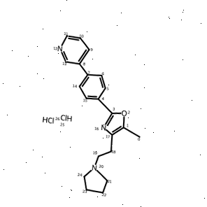 Cc1oc(-c2ccc(-c3cccnc3)cc2)nc1CCN1CCCC1.Cl.Cl